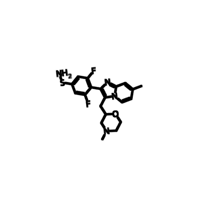 Cc1ccn2c(CC3CN(C)CCO3)c(-c3c(F)cc(SN)cc3F)nc2c1